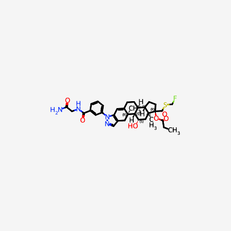 CCC(=O)O[C@]1(C(=O)SCF)CC[C@H]2[C@@H]3CCC4=Cc5c(cnn5-c5cccc(C(=O)NCC(N)=O)c5)C[C@]4(C)[C@H]3[C@@H](O)C[C@@]21C